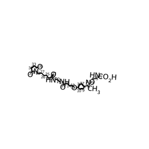 CC(=NOCCNC(=O)O)c1ccc(OCCCC(=O)NCCNC(=O)CCCCCN2C(=O)C=CC2=O)cc1